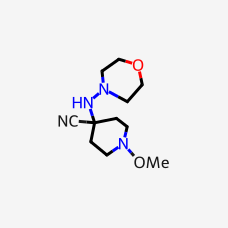 CON1CCC(C#N)(NN2CCOCC2)CC1